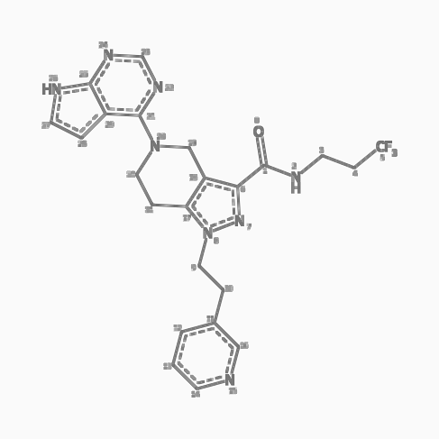 O=C(NCCC(F)(F)F)c1nn(CCc2cccnc2)c2c1CN(c1ncnc3[nH]ccc13)CC2